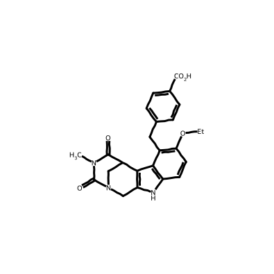 CCOc1ccc2[nH]c3c(c2c1Cc1ccc(C(=O)O)cc1)C1CN(C3)C(=O)N(C)C1=O